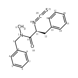 CN(Cc1ccccc1)C(=O)[C@H](Cc1ccccc1)N=C=S